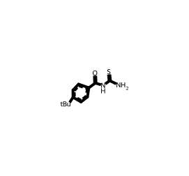 CC(C)(C)c1ccc(C(=O)NC(N)=S)cc1